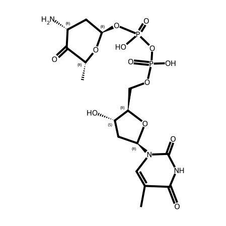 Cc1cn([C@H]2C[C@H](O)[C@@H](COP(=O)(O)OP(=O)(O)O[C@@H]3C[C@@H](N)C(=O)[C@@H](C)O3)O2)c(=O)[nH]c1=O